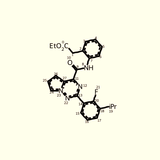 CCOC(=O)Cc1ccccc1NC(=O)c1nc(-c2cccc(C(C)C)c2F)nn2cccc12